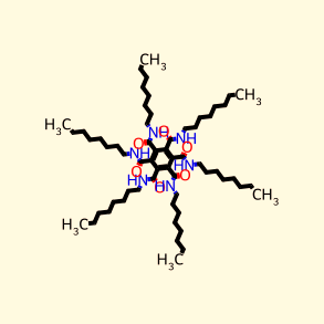 CCCCCCCCNC(=O)c1c(C(=O)NCCCCCCCC)c(C(=O)NCCCCCCCC)c(C(=O)NCCCCCCCC)c(C(=O)NCCCCCCCC)c1C(=O)NCCCCCCCC